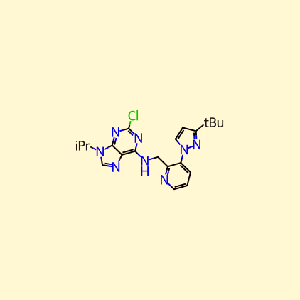 CC(C)n1cnc2c(NCc3ncccc3-n3ccc(C(C)(C)C)n3)nc(Cl)nc21